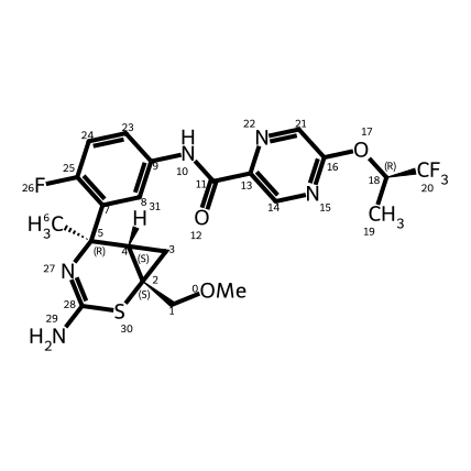 COC[C@]12C[C@H]1[C@](C)(c1cc(NC(=O)c3cnc(O[C@H](C)C(F)(F)F)cn3)ccc1F)N=C(N)S2